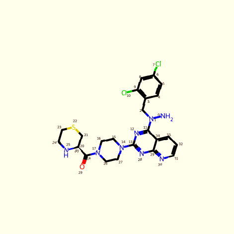 NN(Cc1ccc(Cl)cc1Cl)c1nc(N2CCN(C(=O)[C@@H]3CSCCN3)CC2)nc2ncccc12